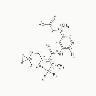 C[C@@H](CC(=O)O)c1ccc(Cl)c(NC(=O)[C@H]([C@H](C)C(F)(F)F)N2CCC3(CC2)CC3)c1